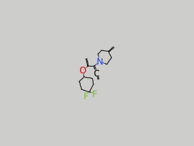 C=C=C(C(=C)OC1CCC(F)(F)CC1)N1CCC(=C)CC1